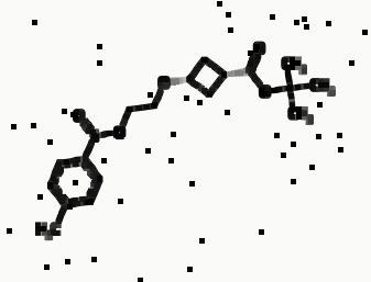 Cc1ccc(S(=O)OCCO[C@H]2C[C@@H](C(=O)OC(C)(C)C)C2)cc1